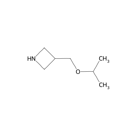 CC(C)OCC1CNC1